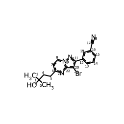 CC(C)(O)CCc1ccn2nc(-c3cccc(C#N)c3)c(Br)c2n1